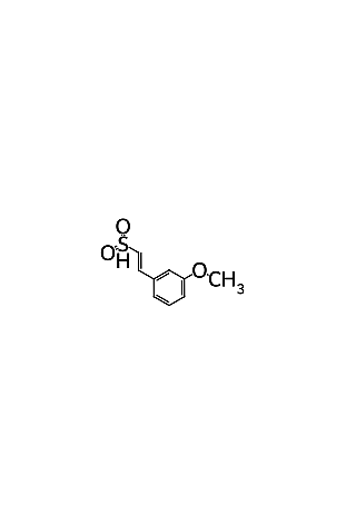 COc1cccc(/C=C/[SH](=O)=O)c1